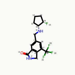 O=C1NCc2c1cc(CN[C@@H]1CCC[C@@H]1F)cc2C(F)(F)F